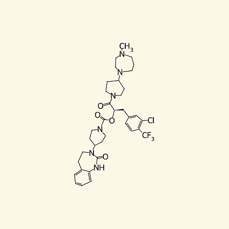 CN1CCCN(C2CCN(C(=O)[C@@H](Cc3ccc(C(F)(F)F)c(Cl)c3)OC(=O)N3CCC(N4CCc5ccccc5NC4=O)CC3)CC2)CC1